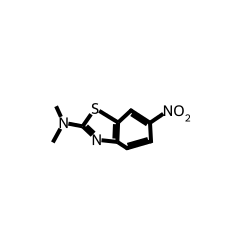 CN(C)c1nc2ccc([N+](=O)[O-])cc2s1